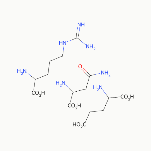 N=C(N)NCCCC(N)C(=O)O.NC(=O)CC(N)C(=O)O.NC(CCC(=O)O)C(=O)O